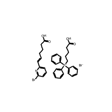 O=C(O)CCCC=Cc1cccc(Br)n1.O=C(O)CCCC[P+](c1ccccc1)(c1ccccc1)c1ccccc1.[Br-]